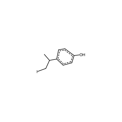 CC(CI)c1ccc(O)cc1